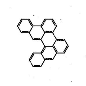 c1ccc2c(c1)cc1c3c2cccc3c2cccc3cc4ccccc4c1c32